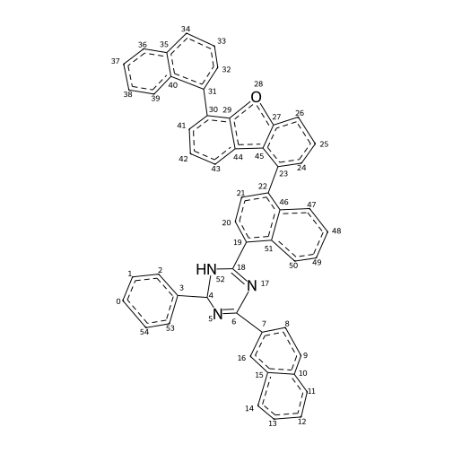 c1ccc(C2N=C(c3ccc4ccccc4c3)N=C(c3ccc(-c4cccc5oc6c(-c7cccc8ccccc78)cccc6c45)c4ccccc34)N2)cc1